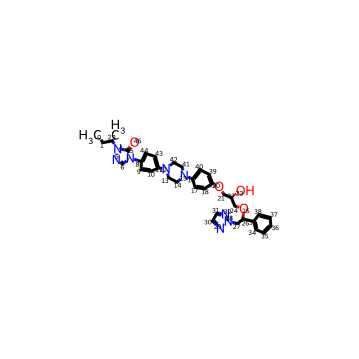 CC[C@H](C)n1ncn(-c2ccc(N3CCN(c4ccc(OC[C@@H](O)COC(Cn5nccn5)c5ccccc5)cc4)CC3)cc2)c1=O